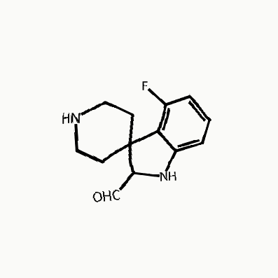 O=CC1Nc2cccc(F)c2C12CCNCC2